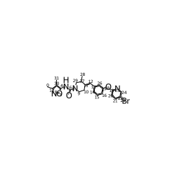 Cc1noc(NC(=O)N2CCC(=Cc3cccc(Oc4ccc(Br)cn4)c3)C(C)C2)c1C